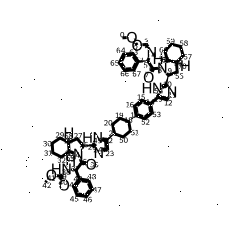 COO/C=N\[C@@H](C(=O)N1[C@H](c2ncc(-c3ccc([C@H]4CC[C@H](c5cnc([C@@H]6C[C@@H]7CCCC[C@@H]7N6C(=O)[C@H](NC(=O)OC)c6ccccc6)[nH]5)CC4)cc3)[nH]2)C[C@@H]2CCCC[C@@H]21)c1ccccc1